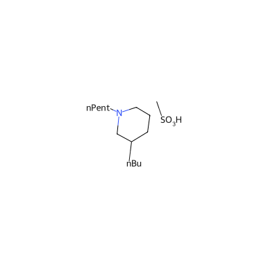 CCCCCN1CCCC(CCCC)C1.CS(=O)(=O)O